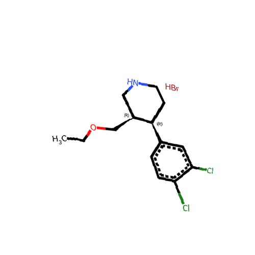 Br.CCOC[C@H]1CNCC[C@H]1c1ccc(Cl)c(Cl)c1